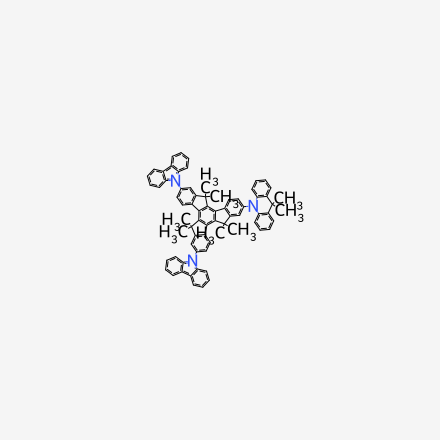 CC1(C)c2ccccc2N(c2ccc3c(c2)C(C)(C)c2c-3c3c(c4c2-c2ccc(-n5c6ccccc6c6ccccc65)cc2C4(C)C)-c2ccc(-n4c5ccccc5c5ccccc54)cc2C3(C)C)c2ccccc21